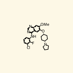 COc1cc2ncnc(Nc3cccc(Cl)c3F)c2cc1O[C@H]1CC[C@@H](N2CCCC2)CC1